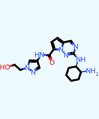 N[C@H]1CCCC[C@H]1Nc1ncc2ccc(C(=O)Nc3cnn(CCO)c3)n2n1